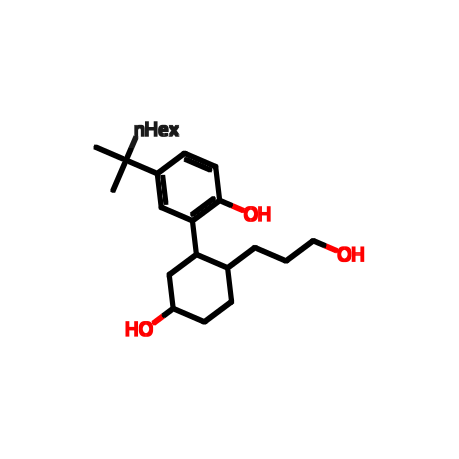 CCCCCCC(C)(C)c1ccc(O)c(C2CC(O)CCC2CCCO)c1